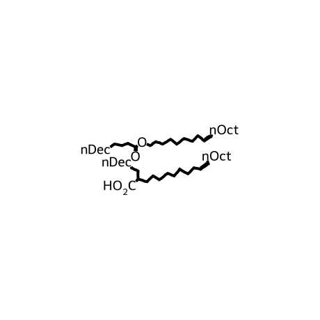 CCCCCCCC/C=C\CCCCCCCCC(CCCCCCCCCCCC)C(=O)O.CCCCCCCC/C=C\CCCCCCCCOC(=O)CCCCCCCCCCCCC